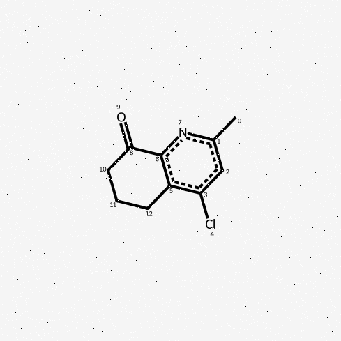 Cc1cc(Cl)c2c(n1)C(=O)CCC2